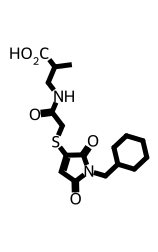 CC(CNC(=O)CSC1=CC(=O)N(CC2CCCCC2)C1=O)C(=O)O